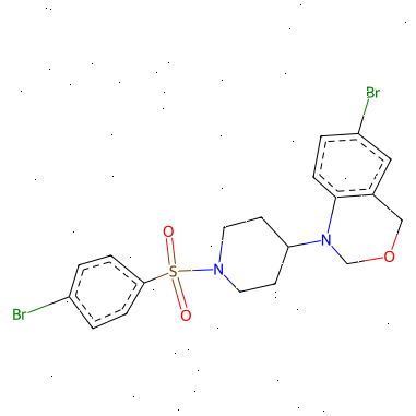 O=S(=O)(c1ccc(Br)cc1)N1CCC(N2COCc3cc(Br)ccc32)CC1